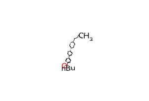 C=CCCC1CCC(c2ccc(-c3ccc(COCCCC)cc3)cc2)CC1